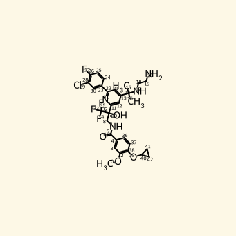 COc1cc(C(=O)NCC(O)(c2cc(C(C)(C)NCCN)cc(-c3ccc(F)c(Cl)c3)n2)C(F)(F)F)ccc1OC1CC1